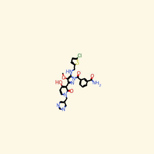 COc1c(-c2c(O)ccn(Cc3cncnc3)c2=O)nn(C(=O)c2cccc(C(N)=O)c2)c1NCc1ccc(Cl)s1